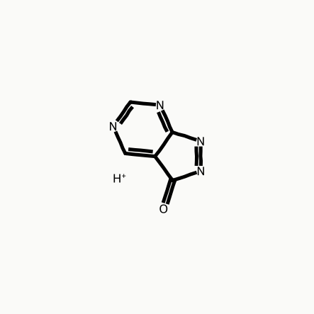 O=C1N=Nc2ncncc21.[H+]